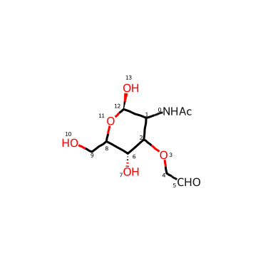 CC(=O)NC1C(OCC=O)[C@H](O)C(CO)O[C@H]1O